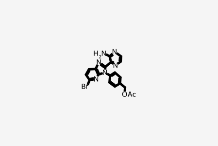 CC(=O)OCc1ccc(-n2c(-c3nccnc3N)nc3ccc(Br)nc32)cc1